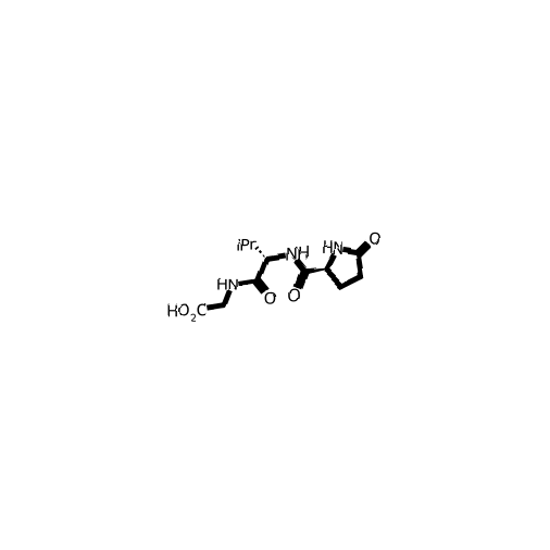 CC(C)[C@H](NC(=O)[C@@H]1CCC(=O)N1)C(=O)NCC(=O)O